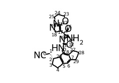 N#CC[C@H]1CCc2cc3c(c(NC(=O)N=S(N)(=O)c4cnn5c4OCCC5)c21)CCC3